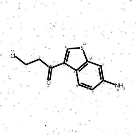 Nc1ccc2c(C(=O)CCCl)csc2c1